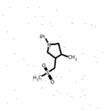 CC1CN(C(C)C)CC1CS(C)(=O)=O